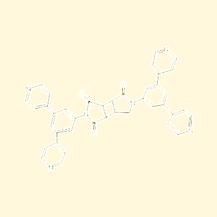 O=C1C2C(CN1c1cc(-c3ccncc3)cc(-c3ccncc3)c1)C1C(=O)N(c3cc(-c4ccncc4)cc(-c4ccncc4)c3)C(=O)C21